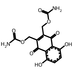 NC(=O)OCC1=C(COC(N)=O)C(=O)c2c(O)ccc(O)c2C1=O